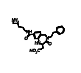 NCCCCCNC(=O)c1ccc2c(c1)NC(CC(=O)O)C(=O)N(CCc1ccccc1)C2